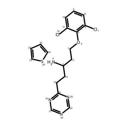 NC(CCOc1c(Cl)cccc1Cl)CCc1ncncn1.c1ccsc1